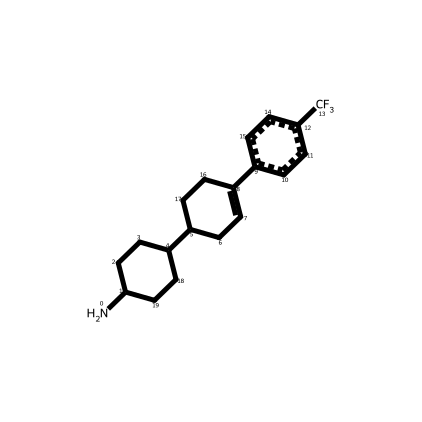 NC1CCC(C2CC=C(c3ccc(C(F)(F)F)cc3)CC2)CC1